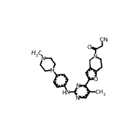 Cc1cnc(Nc2ccc(N3CCN(C)CC3)cc2)nc1-c1cc2c(o1)CCN(C(=O)CC#N)C2